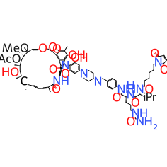 CO[C@H]1/C=C/O[C@@]2(C)Oc3c(C)c(O)c4c(=O)c(c5oc6cc(N7CCC(N(C)Cc8ccc(NC(=O)[C@H](CCCNC(N)=O)NC(=O)C(NC(=O)CCCCCN9C(=O)C=CC9=O)C(C)C)cc8)CC7)cc(O)c6nc-5c4c3C2=O)NC(=O)/C(C)=C\C=C\[C@H](C)C[C@@H](C)[C@@H](O)[C@@H](C)[C@H](OC(C)=O)[C@@H]1C